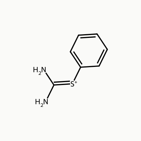 NC(N)=[S+]c1ccccc1